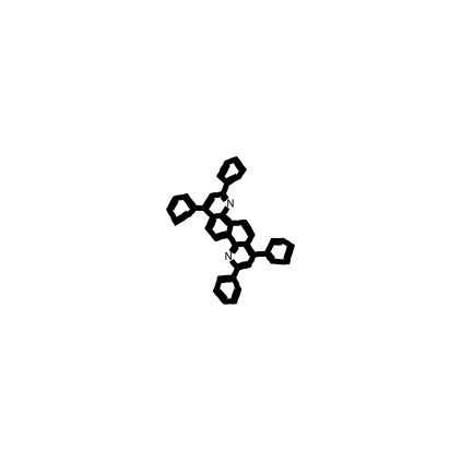 c1ccc(-c2cc(-c3ccccc3)c3ccc4c(ccc5c(-c6ccccc6)cc(-c6ccccc6)nc54)c3n2)cc1